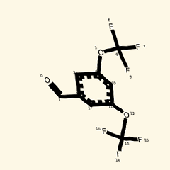 O=Cc1cc(OC(F)(F)F)cc(OC(F)(F)F)c1